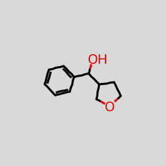 OC(c1ccccc1)C1CCOC1